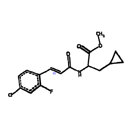 COC(=O)C(CC1CC1)NC(=O)/C=C/c1ccc(Cl)cc1F